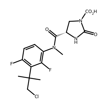 CN(C(=O)[C@@H]1CN(C(=O)O)C(=O)N1)c1ccc(F)c(C(C)(C)CCl)c1F